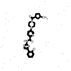 CC1CCC(C(=O)N2CCN(c3ccc(C(=O)Nc4nc(-c5ccccc5Cl)cs4)nc3)CC2)C1